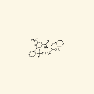 Cc1cc(C(=O)N[C@@H](CN2CCCCC2)C(C)C)cc(-c2ccccc2C(F)(F)F)n1